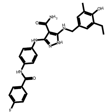 CCc1cc(CNc2[nH]nc(Nc3ccc(NC(=O)c4ccc(F)cc4)cc3)c2C(N)=O)cc(C)c1O